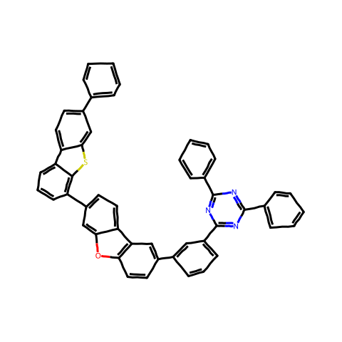 c1ccc(-c2ccc3c(c2)sc2c(-c4ccc5c(c4)oc4ccc(-c6cccc(-c7nc(-c8ccccc8)nc(-c8ccccc8)n7)c6)cc45)cccc23)cc1